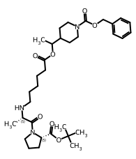 CC(OC(=O)CCCCCN[C@@H](C)C(=O)N1CCC[C@H]1C(=O)OC(C)(C)C)C1CCN(C(=O)OCc2ccccc2)CC1